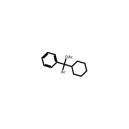 CC(=O)OC(C(C)=O)(c1ccccc1)C1CCCCC1